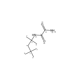 CC(C)(C)CC(C)(C)NC(=O)C(N)=O